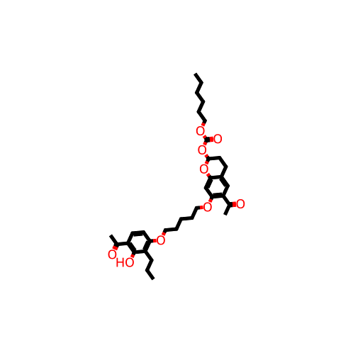 CCCCCCOC(=O)OC1CCc2cc(C(C)=O)c(OCCCCCOc3ccc(C(C)=O)c(O)c3CCC)cc2O1